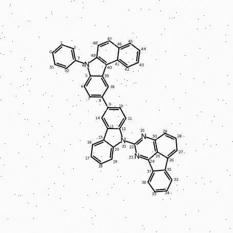 c1ccc(-n2c3ccc(-c4ccc5c(c4)c4ccccc4n5-c4nc5c6c(cccc6n4)-c4ccccc4-5)cc3c3c4ccccc4ccc32)cc1